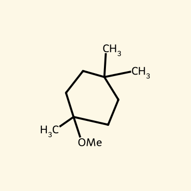 COC1(C)CCC(C)(C)CC1